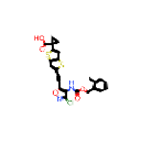 Cc1ccccc1COC(=O)Nc1c(Cl)noc1C#Cc1cc2sc(C3(C(=O)O)CC3)cc2s1